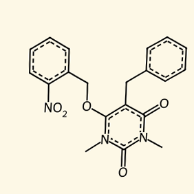 Cn1c(OCc2ccccc2[N+](=O)[O-])c(Cc2ccccc2)c(=O)n(C)c1=O